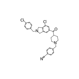 N#Cc1ccc(CN2CCC(C(=O)c3cc(Cl)c4c(c3)CN(Cc3ccc(Cl)cc3)C4)CC2)cc1